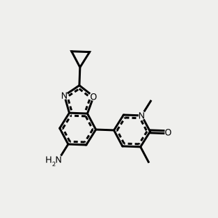 Cc1cc(-c2cc(N)cc3nc(C4CC4)oc23)cn(C)c1=O